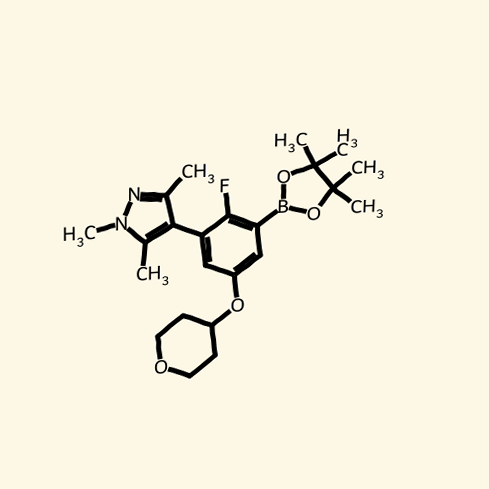 Cc1nn(C)c(C)c1-c1cc(OC2CCOCC2)cc(B2OC(C)(C)C(C)(C)O2)c1F